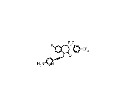 Nc1ccc(C#CCN2C(=O)[C@@H](c3ccc(C(F)(F)F)cc3C(F)(F)F)CCc3cc(F)ccc32)nn1